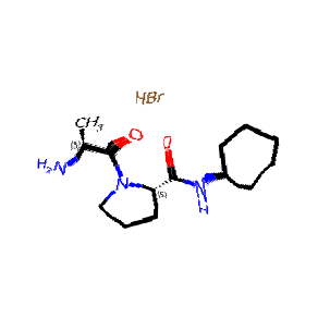 Br.C[C@H](N)C(=O)N1CCC[C@H]1C(=O)NC1CCCCC1